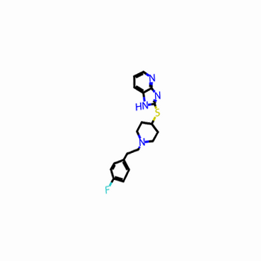 Fc1ccc(CCN2CCC(Sc3nc4ncccc4[nH]3)CC2)cc1